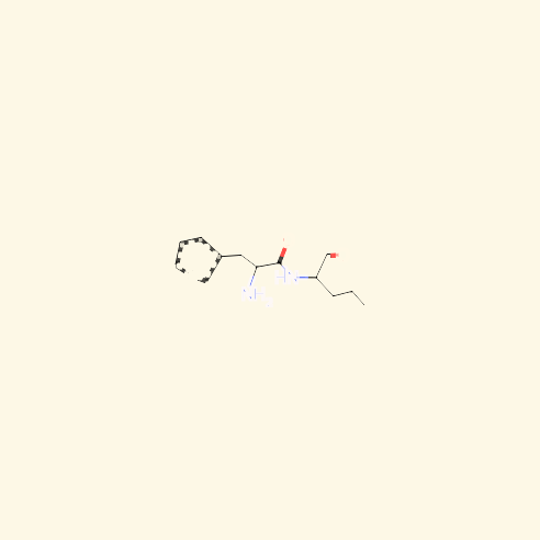 CCCC([C]=O)NC(=O)C(N)Cc1ccccc1